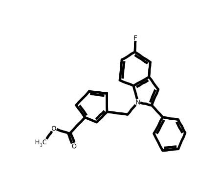 COC(=O)c1cccc(Cn2c(-c3ccccc3)cc3cc(F)ccc32)c1